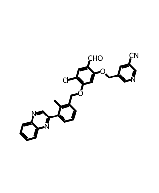 Cc1c(COc2cc(OCc3cncc(C#N)c3)c(C=O)cc2Cl)cccc1-c1cnc2ccccc2n1